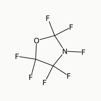 FN1C(F)(F)OC(F)(F)C1(F)F